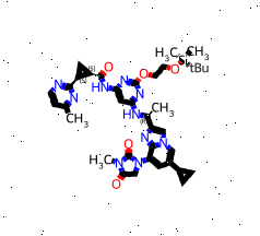 Cc1ccnc([C@H]2C[C@@H]2C(=O)Nc2cc(N[C@H](C)c3cn4cc(C5CC5)cc(N5CC(=O)N(C)C5=O)c4n3)nc(OCCO[Si](C)(C)C(C)(C)C)n2)n1